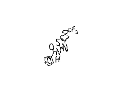 O=C(Nc1nc2ccc(OC(F)(F)F)cc2s1)C12CC3CC(CC1C3)C2